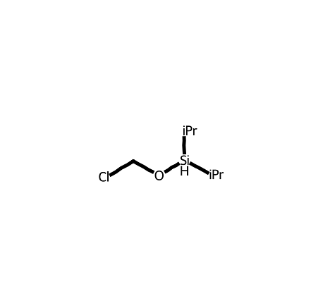 CC(C)[SiH](OCCl)C(C)C